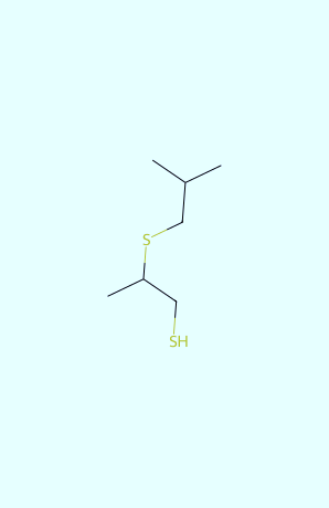 CC(C)CSC(C)CS